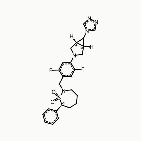 O=S1(=O)[C@H](c2ccccc2)CCCCN1Cc1cc(F)c(N2C[C@@H]3C(n4cnnc4)[C@@H]3C2)cc1F